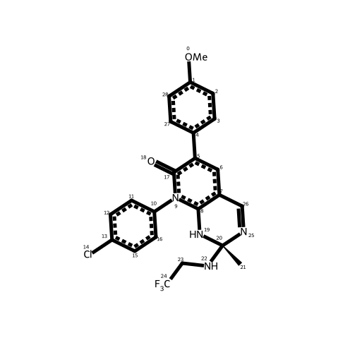 COc1ccc(-c2cc3c(n(-c4ccc(Cl)cc4)c2=O)N[C@@](C)(NCC(F)(F)F)N=C3)cc1